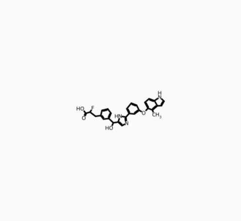 Cc1c(Oc2cccc(-c3ncc(C(O)c4cccc(CC(F)C(=O)O)c4)[nH]3)c2)ccc2[nH]ccc12